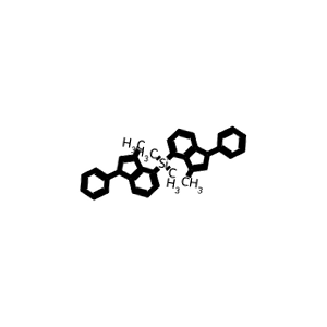 CC1=CC(c2ccccc2)c2cccc([Si](C)(C)c3cccc4c3C(C)=CC4c3ccccc3)c21